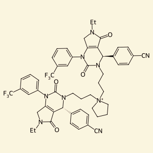 CCN1CC2=C(C1=O)[C@@H](c1ccc(C#N)cc1)N(CCC[N+]1(CCCN3C(=O)N(c4cccc(C(F)(F)F)c4)C4=C(C(=O)N(CC)C4)[C@H]3c3ccc(C#N)cc3)CCCC1)C(=O)N2c1cccc(C(F)(F)F)c1